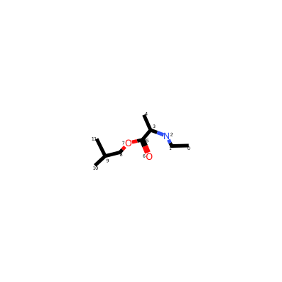 CC[N]C(C)C(=O)OCC(C)C